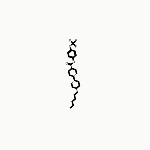 CCCCCC[C@H]1CC[C@H]([C@H]2CC[C@H](C(=O)Oc3ccc(OC(F)(F)F)cc3)CC2)CC1